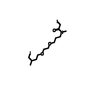 CC(CI)CCOCCOCCCN(C)C(=O)CI